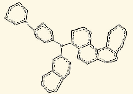 c1ccc(-c2ccc(N(c3ccc4ccccc4c3)c3cccc4c3ccc3ccc5ccccc5c34)cc2)cc1